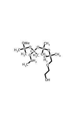 CO[Si](C)(C)O[Si@@](C)(O[SiH2]C)O[Si](C)(C)O[Si](C)(C)COCCO